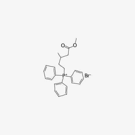 COC(=O)CC(C)CC[P+](c1ccccc1)(c1ccccc1)c1ccccc1.[Br-]